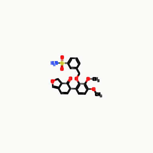 COc1ccc(C2C=CC3=COCC3C2=O)c(OCc2cccc(S(N)(=O)=O)c2)c1OC